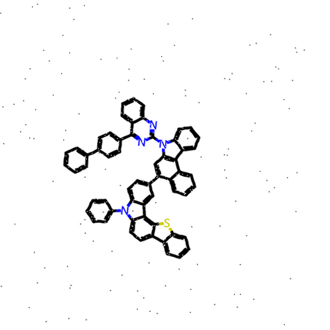 c1ccc(-c2ccc(-c3nc(-n4c5ccccc5c5c6ccccc6c(-c6ccc7c(c6)c6c8sc9ccccc9c8ccc6n7-c6ccccc6)cc54)nc4ccccc34)cc2)cc1